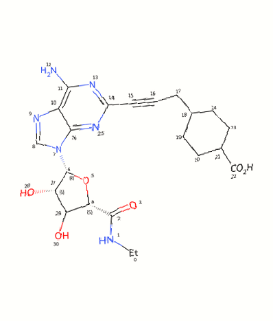 CCNC(=O)[C@H]1O[C@@H](n2cnc3c(N)nc(C#CCC4CCC(C(=O)O)CC4)nc32)[C@@H](O)C1O